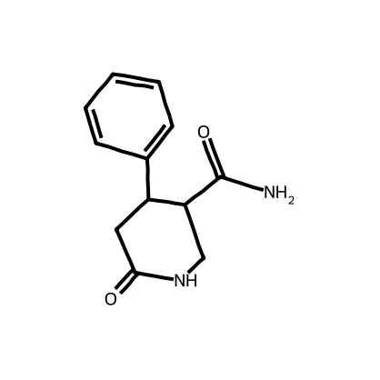 NC(=O)C1CNC(=O)CC1c1ccccc1